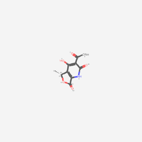 COC(=O)c1c(O)c2c([nH]c1=O)C(=O)O[C@@H]2C